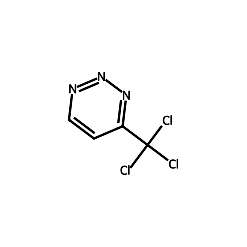 ClC(Cl)(Cl)c1ccnnn1